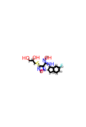 OC[C@H](O)CSc1nonc1/C(=N/O)N[C@@H]1CCc2ccc(F)cc21